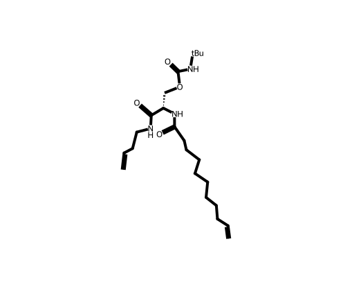 C=CCCCCCCCCC(=O)N[C@@H](COC(=O)NC(C)(C)C)C(=O)NCCC=C